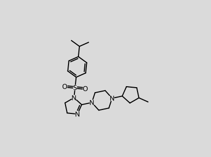 CC1CCC(N2CCN(C3=NCCN3S(=O)(=O)c3ccc(C(C)C)cc3)CC2)C1